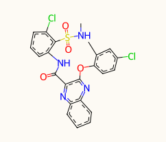 CNS(=O)(=O)c1c(Cl)cccc1NC(=O)c1nc2ccccc2nc1Oc1ccc(Cl)cc1C